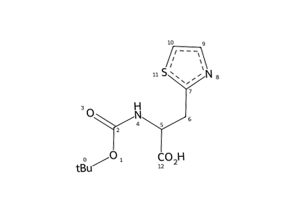 CC(C)(C)OC(=O)NC(Cc1nccs1)C(=O)O